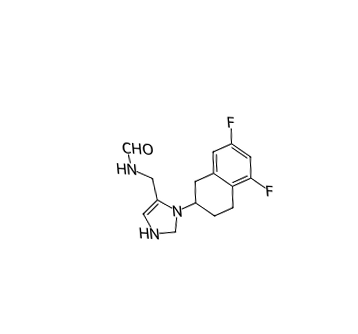 O=CNCC1=CNCN1C1CCc2c(F)cc(F)cc2C1